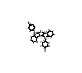 Cc1ccc(-n2c3ccccc3c3c2oc2c4ccccc4n(-c4ccc(C)cc4)c23)cc1